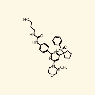 C[C@H]1COCCN1c1cc(C2(S(=O)(=O)c3ccccc3)CCCC2)nc(-c2ccc(NC(=O)NCCCO)cc2)n1